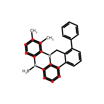 BN(c1cc(C)c(C)cn1)c1ccccc1N(Cc1c(-c2ccccc2)cccc1-c1ccccc1)c1ccccc1